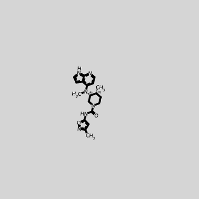 Cc1cc(NC(=O)N2CC[C@@H](C)[C@@H](N(C)c3ccnc4[nH]ccc34)C2)on1